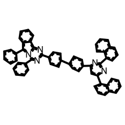 c1ccc(-c2nc(-c3ccc(-c4ccc(-c5cc(-c6cccc7ccccc67)nc(-c6cccc7ccccc67)n5)cc4)cc3)nc3c4ccccc4c(-c4ccccc4)n23)cc1